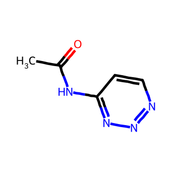 CC(=O)Nc1ccnnn1